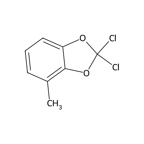 Cc1cccc2c1OC(Cl)(Cl)O2